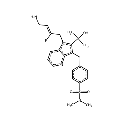 CN(C)S(=O)(=O)c1ccc(Cc2c(C(C)(C)O)n(C/C(F)=C/CN)c3cccnc23)cc1